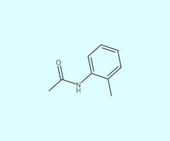 CC(=O)Nc1cc[c]cc1C